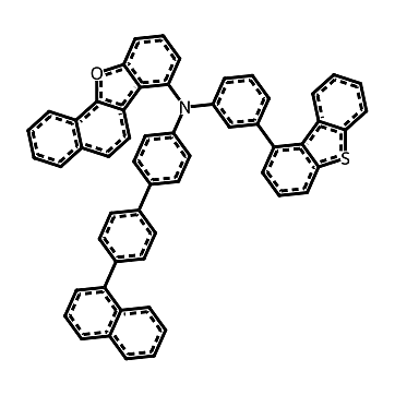 c1cc(-c2cccc3sc4ccccc4c23)cc(N(c2ccc(-c3ccc(-c4cccc5ccccc45)cc3)cc2)c2cccc3oc4c5ccccc5ccc4c23)c1